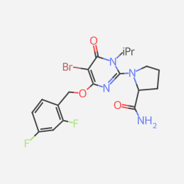 CC(C)n1c(N2CCCC2C(N)=O)nc(OCc2ccc(F)cc2F)c(Br)c1=O